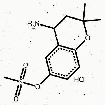 CC1(C)CC(N)c2cc(OS(C)(=O)=O)ccc2O1.Cl